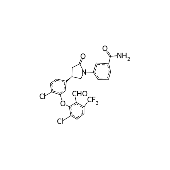 NC(=O)c1cccc(N2C[C@@H](c3ccc(Cl)c(Oc4c(Cl)ccc(C(F)(F)F)c4C=O)c3)CC2=O)c1